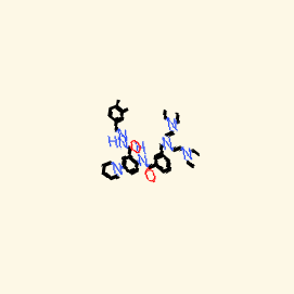 CCN(CC)CCN(CCN(CC)CC)Cc1cccc(C(=O)Nc2ccc(N3CCCCC3)cc2C(=O)NN=Cc2ccc(C)c(C)c2)c1